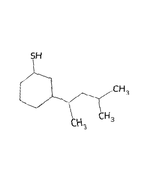 CC(C)CC(C)C1CCCC(S)C1